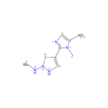 Cn1c([N+](=O)[O-])cnc1C1=CNN(NC(C)(C)C)S1